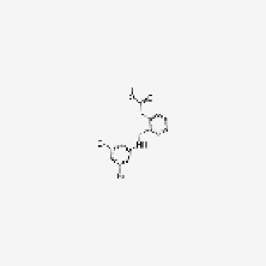 COC(=O)Cc1ccccc1CNc1cc(Cl)cc(Br)c1